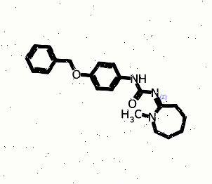 CN1CCCCC/C1=N/C(=O)Nc1ccc(OCc2ccccc2)cc1